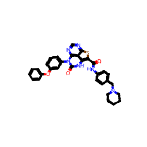 O=C(Nc1ccc(CN2CCCCC2)cc1)c1sc2ncnc3c2c1NC(=O)N3c1cccc(Oc2ccccc2)c1